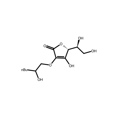 CCCCC(O)COC1=C(O)[C@@H]([C@@H](O)CO)OC1=O